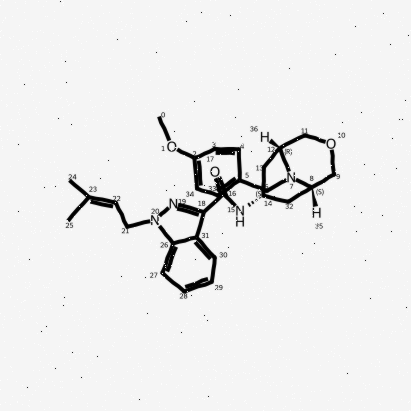 COc1ccc(CN2[C@@H]3COC[C@H]2C[C@@H](NC(=O)c2nn(CC=C(C)C)c4ccccc24)C3)cc1